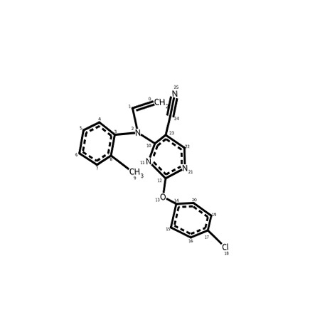 C=CN(c1ccccc1C)c1nc(Oc2ccc(Cl)cc2)ncc1C#N